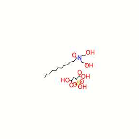 CCCCCCCCCCCC(=O)N(CCO)CCO.O=C(O)CC(C(=O)O)S(=O)(=O)O